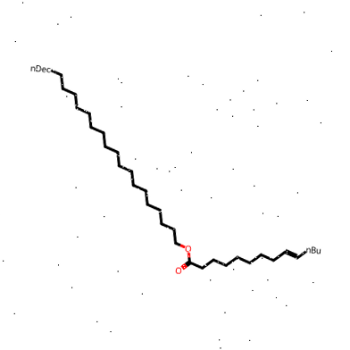 CCCCC=CCCCCCCCC(=O)OCCCCCCCCCCCCCCCCCCCCCCCCCCCC